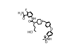 CCCCN(C(=O)Nc1ccc(F)c(C(N)=O)c1)C1CCN(Cc2ccc(Oc3ccc(NS(C)(=O)=O)cc3)cc2)CC1.Cl